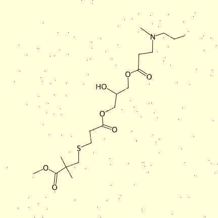 CCCN(C)CCC(=O)OCC(O)COC(=O)CCSCC(C)(C)C(=O)OC